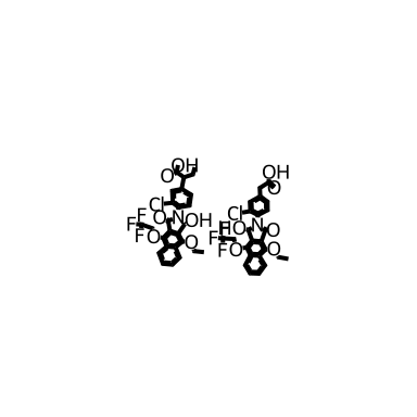 CCOc1c2c(c(OCC(F)(F)F)c3ccccc13)C(=O)N(c1ccc(C(CC)C(=O)O)cc1Cl)C2O.CCOc1c2c(c(OCC(F)(F)F)c3ccccc13)C(O)N(c1ccc(CC(=O)O)cc1Cl)C2=O